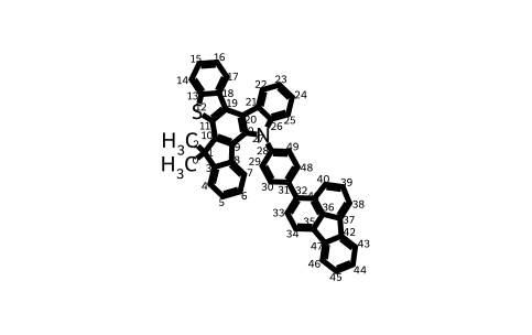 CC1(C)c2ccccc2-c2c1c1sc3ccccc3c1c1c3ccccc3n(-c3ccc(-c4ccc5c6c(cccc46)-c4ccccc4-5)cc3)c21